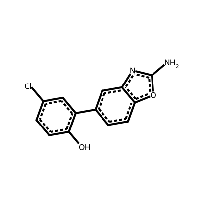 Nc1nc2cc(-c3cc(Cl)ccc3O)ccc2o1